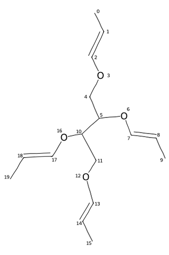 CC=COCC(OC=CC)C(COC=CC)OC=CC